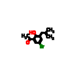 C=C(C)Cc1cc(Br)cc(C(C)=O)c1O